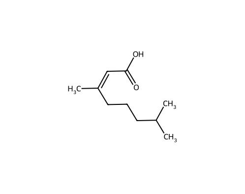 CC(=CC(=O)O)CCCC(C)C